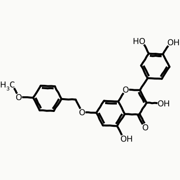 COc1ccc(COc2cc(O)c3c(=O)c(O)c(-c4ccc(O)c(O)c4)oc3c2)cc1